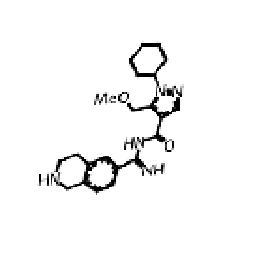 COCc1c(C(=O)NC(=N)c2ccc3c(c2)CCNC3)cnn1C1CCCCC1